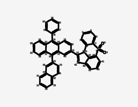 O=S1(=O)c2ccccc2-n2c(-c3ccc4c(-c5ccccc5)c5ccccc5c(-c5ccc6ccccc6c5)c4c3)nc3cccc1c32